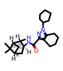 C[C@@H]1[C@@H](NC(=O)c2nn(C3CCCCC3)c3c2CCCC3)C[C@H]2C[C@@H]1C2(C)C